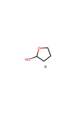 OC1CCCO1.[K]